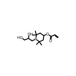 C=CC(=O)OC1CC(C)(C)N(CC(O)CO)C(C)(C)C1